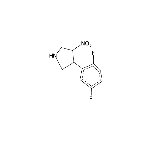 O=[N+]([O-])C1CNCC1c1cc(F)ccc1F